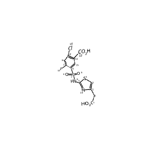 O=C(O)Cc1csc(NS(=O)(=O)c2cc(C(=O)O)c(Cl)cc2F)n1